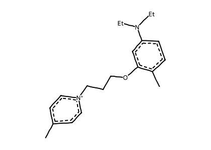 CCN(CC)c1ccc(C)c(OCCC[n+]2ccc(C)cc2)c1